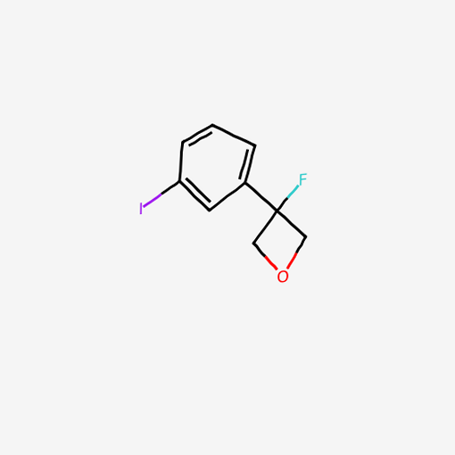 FC1(c2cccc(I)c2)COC1